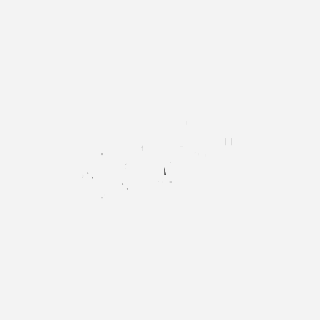 COC(=O)[C@@H](O)Cc1cnc[nH]1